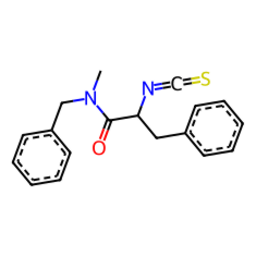 CN(Cc1ccccc1)C(=O)C(Cc1ccccc1)N=C=S